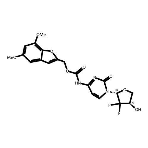 COc1cc(OC)c2oc(COC(=O)Nc3ccn([C@@H]4O[CH][C@@H](O)C4(F)F)c(=O)n3)cc2c1